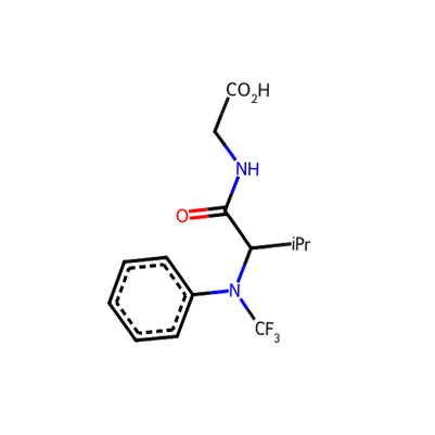 CC(C)C(C(=O)NCC(=O)O)N(c1ccccc1)C(F)(F)F